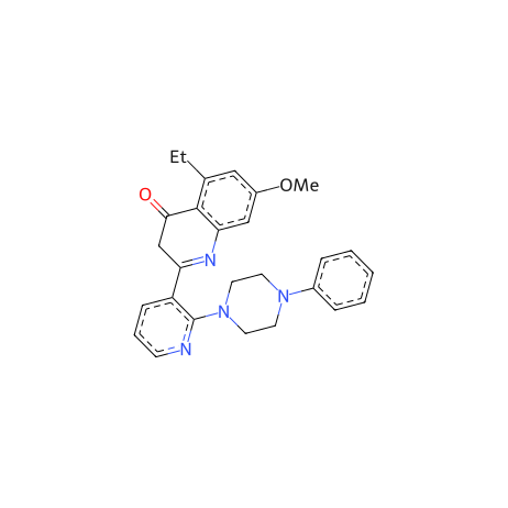 CCc1cc(OC)cc2c1C(=O)CC(c1cccnc1N1CCN(c3ccccc3)CC1)=N2